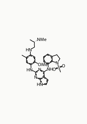 CN[C@@H](C)CNc1cc(OC)c(Nc2nc(Nc3cccc4c3N(S(C)(=O)=O)CC4)c3cc[nH]c3n2)cc1C